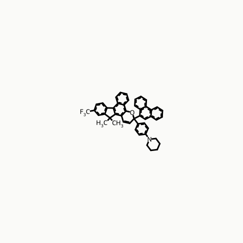 CC1(C)c2cc(C(F)(F)F)ccc2-c2c1c1c(c3ccccc23)OC(c2ccc(N3CCCCC3)cc2)(c2cc3ccccc3c3ccccc23)C=C1